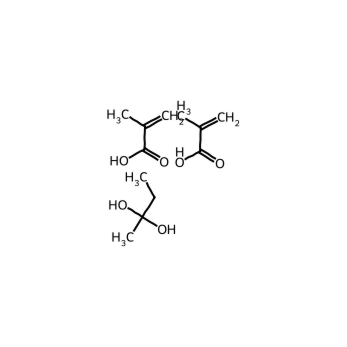 C=C(C)C(=O)O.C=C(C)C(=O)O.CCC(C)(O)O